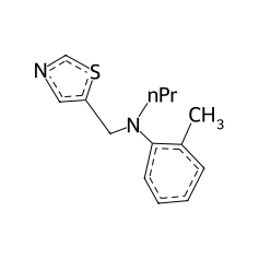 CCCN(Cc1cncs1)c1ccccc1C